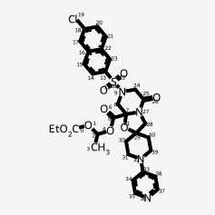 CCOC(=O)OC(C)OC(=O)C12CN(S(=O)(=O)c3ccc4cc(Cl)ccc4c3)CC(=O)N1CC1(CCN(c3ccncc3)CC1)O2